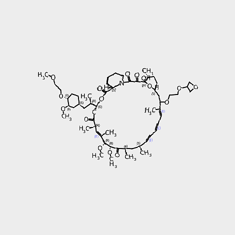 COCCO[C@@H]1CC[C@@H](C[C@@H](C)[C@@H]2CC(=O)[C@H](C)/C=C(\C)[C@@H](OC)[C@@H](OC)C(=O)[C@H](C)C[C@H](C)/C=C/C=C/C=C(\C)C(OCCOC3COC3)C[C@@H]3CC[C@@H](C)[C@@](O)(O3)C(=O)C(=O)N3CCCC[C@H]3C(=O)O2)C[C@H]1OC